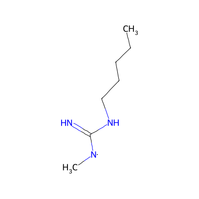 CCCCCNC(=N)[N]C